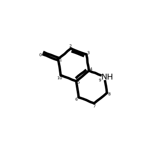 C=C1C=CC2=C(CCCN2)C1